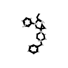 CCC(=O)N(CC1(N2CCN(Cc3ccccc3)CC2)CC1)c1cccnc1